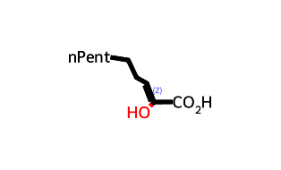 CCCCCCC/C=C(\O)C(=O)O